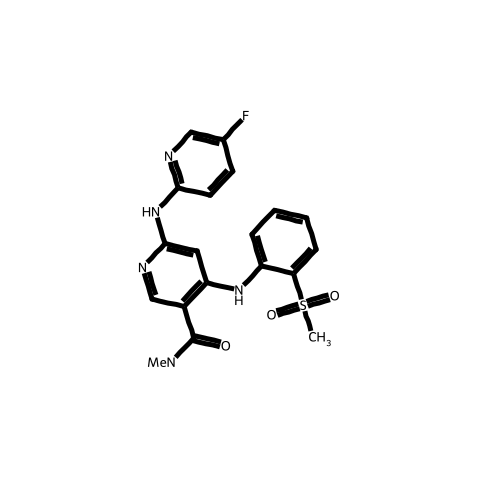 CNC(=O)c1cnc(Nc2ccc(F)cn2)cc1Nc1ccccc1S(C)(=O)=O